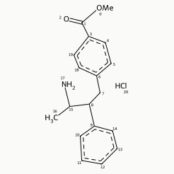 COC(=O)c1ccc(CC(c2ccccc2)C(C)N)cc1.Cl